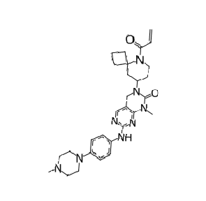 C=CC(=O)N1CCC(N2Cc3cnc(Nc4ccc(N5CCN(C)CC5)cc4)nc3N(C)C2=O)CC12CCC2